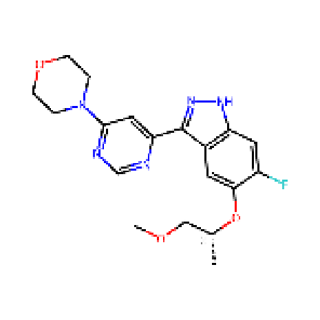 COC[C@@H](C)Oc1cc2c(-c3cc(N4CCOCC4)ncn3)n[nH]c2cc1F